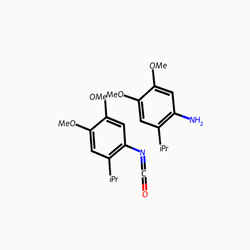 COc1cc(N)c(C(C)C)cc1OC.COc1cc(N=C=O)c(C(C)C)cc1OC